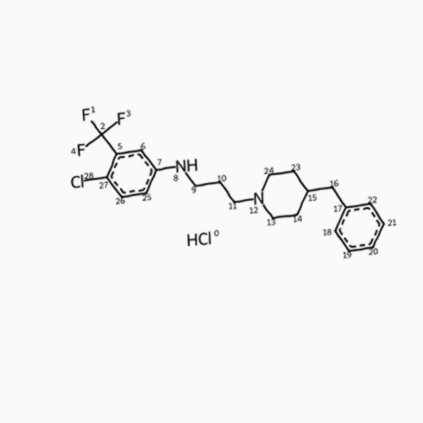 Cl.FC(F)(F)c1cc(NCCCN2CCC(Cc3ccccc3)CC2)ccc1Cl